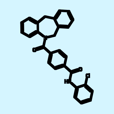 O=C(Nc1ccccc1Cl)c1ccc(C(=O)N2Cc3ccccc3Cc3ccccc32)cc1